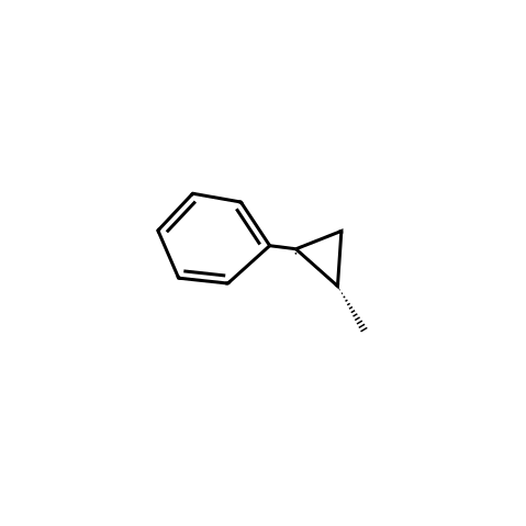 C[C@H]1C[C]1c1ccccc1